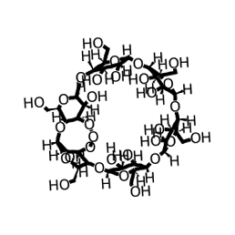 OC[C@H]1O[C@@H]2O[C@@H]3[C@@H]4OOO[C@H]([C@H]2O)[C@H]1O[C@H]1O[C@H](CO)[C@@H](O[C@H]2O[C@H](CO)[C@@H](O[C@H]5O[C@H](CO)[C@@H](O[C@H]6O[C@H](CO)[C@@H](O[C@@H](O[C@@H]3CO)[C@@H]4O)[C@H](O)[C@H]6O)[C@H](O)[C@H]5O)[C@H](O)[C@H]2O)[C@H](O)[C@H]1O